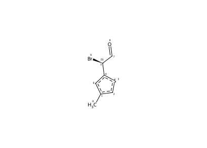 Cc1csc([C@@H](Br)C=O)c1